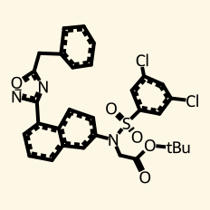 CC(C)(C)OC(=O)CN(c1ccc2c(-c3noc(Cc4ccccc4)n3)cccc2c1)S(=O)(=O)c1cc(Cl)cc(Cl)c1